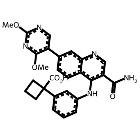 COc1ncc(-c2ccc3c(Nc4cccc(C5(C(=O)O)CCC5)c4)c(C(N)=O)cnc3c2)c(OC)n1